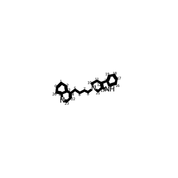 c1ccc2c(CCCCN3CCc4c([nH]c5ccccc45)C3)ccnc2c1